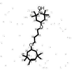 CC1=CC(C)(C)CC(OCCCCOC2CC(C)(C)N(O)C(C)(C)C2)CC1(C)C